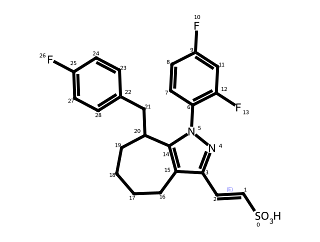 O=S(=O)(O)/C=C/c1nn(-c2ccc(F)cc2F)c2c1CCCCC2Cc1ccc(F)cc1